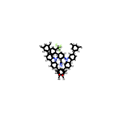 Cc1cc(C)cc(-c2ccc3c4ccc(-c5cc(C)cc(C)c5)cc4n(-c4ccc(-c5ccccc5C(F)(F)F)c(-n5c6cc(-c7cc(C)cc(C)c7)ccc6c6ccc(-c7cc(C)cc(C)c7)cc65)c4C#N)c3c2)c1